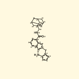 Nc1ccnn1Cc1cn2c(C(=O)NCC34CC5CC(CC(C5)C3)C4)cccc2n1